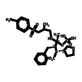 CC(CN[C@](C)(OP(=O)(O)O)[C@H](Cc1ccccc1)N(C(=O)O)[C@H]1CCOC1)CS(=O)(=O)c1ccc(N)cc1